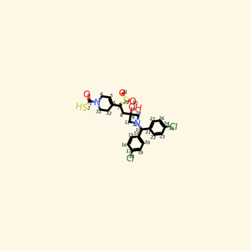 O=C(S)N1CC=C(C(CC2(O)CN(C(c3ccc(Cl)cc3)c3ccc(Cl)cc3)C2)=S(=O)=O)CC1